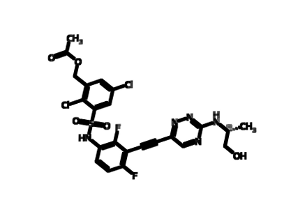 CC(=O)OCc1cc(Cl)cc(S(=O)(=O)Nc2ccc(F)c(C#Cc3cnc(N[C@H](C)CO)nn3)c2F)c1Cl